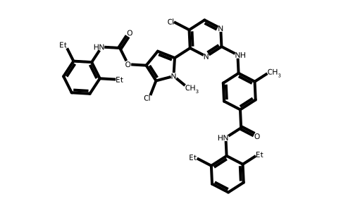 CCc1cccc(CC)c1NC(=O)Oc1cc(-c2nc(Nc3ccc(C(=O)Nc4c(CC)cccc4CC)cc3C)ncc2Cl)n(C)c1Cl